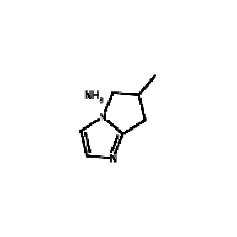 CC1Cc2nccn2C1.N